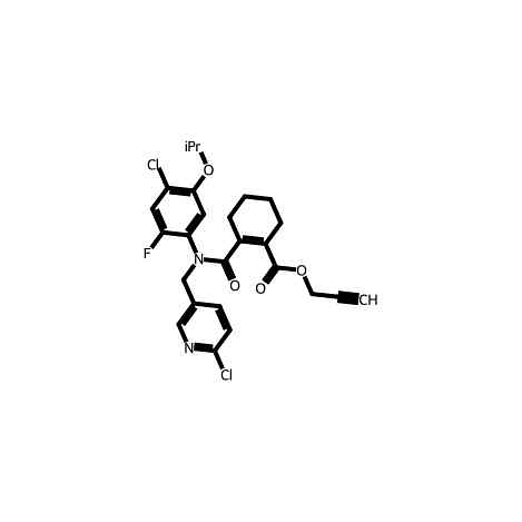 C#CCOC(=O)C1=C(C(=O)N(Cc2ccc(Cl)nc2)c2cc(OC(C)C)c(Cl)cc2F)CCCC1